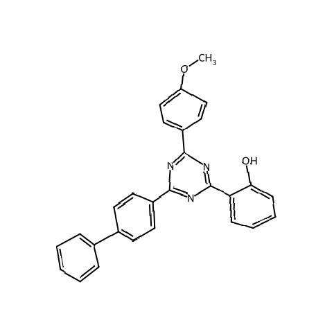 COc1ccc(-c2nc(-c3ccc(-c4ccccc4)cc3)nc(-c3ccccc3O)n2)cc1